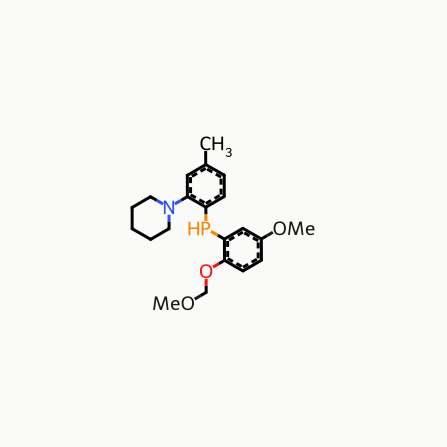 COCOc1ccc(OC)cc1Pc1ccc(C)cc1N1CCCCC1